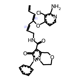 C=C/C=C(\C=C/CNC(=O)c1c2n(n(-c3ccccc3)c1=O)CCOC2)Oc1ccnc(N)c1Cl